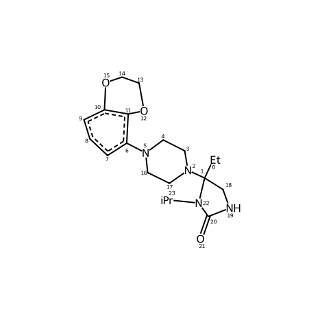 CCC1(N2CCN(c3cccc4c3OCCO4)CC2)CNC(=O)N1C(C)C